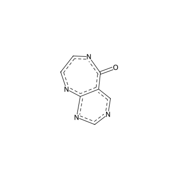 O=c1nccnc2ncncc12